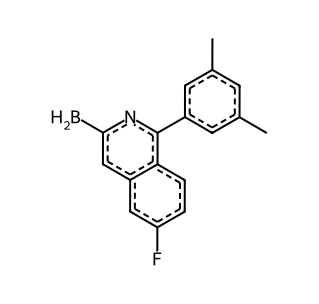 Bc1cc2cc(F)ccc2c(-c2cc(C)cc(C)c2)n1